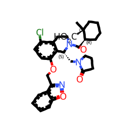 C[C@]1(C(=O)O)CCCC[C@H]1C(=O)N1CCc2c(Cl)ccc(OCc3noc4ccccc34)c2[C@H]1CN1CCCC1=O